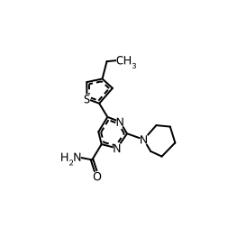 CCc1csc(-c2cc(C(N)=O)nc(N3CCCCC3)n2)c1